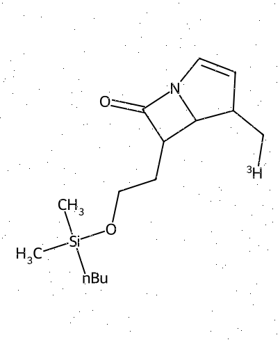 [3H]CC1C=CN2C(=O)C(CCO[Si](C)(C)CCCC)C12